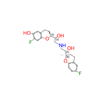 C[C@]1([C@@H](O)CNC[C@H](O)[C@@H]2CCc3cc(O)c(F)cc3O2)CCc2cc(F)ccc2O1